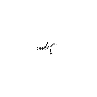 CC=O.C[CH2][AlH][CH2]C